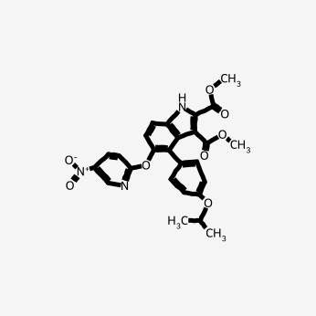 COC(=O)c1[nH]c2ccc(Oc3ccc([N+](=O)[O-])cn3)c(-c3ccc(OC(C)C)cc3)c2c1C(=O)OC